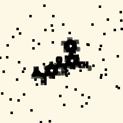 Cc1nc(NC(=O)c2ccc(NC3CC3)nc2)nc(-c2ccccn2)n1